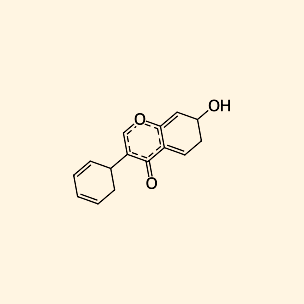 O=c1c(C2C=CC=CC2)coc2c1=CCC(O)C=2